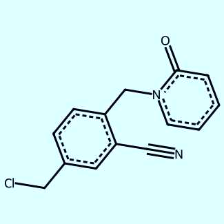 N#Cc1cc(CCl)ccc1Cn1ccccc1=O